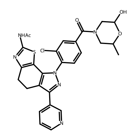 CC(=O)Nc1nc2c(s1)-c1c(c(-c3cccnc3)nn1-c1ccc(C(=O)N3CC(C)OC(O)C3)cc1Cl)CC2